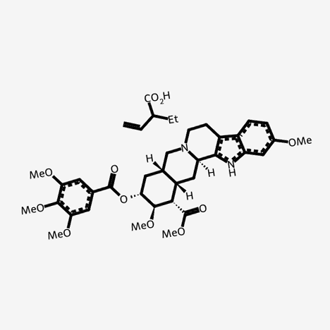 C=CC(CC)C(=O)O.COC(=O)[C@H]1[C@H]2C[C@@H]3c4[nH]c5cc(OC)ccc5c4CCN3C[C@H]2C[C@@H](OC(=O)c2cc(OC)c(OC)c(OC)c2)[C@@H]1OC